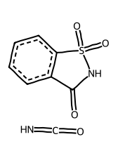 N=C=O.O=C1NS(=O)(=O)c2ccccc21